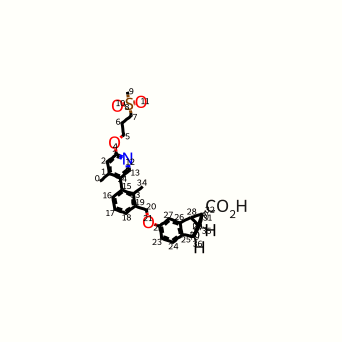 Cc1cc(OCCCS(C)(=O)=O)ncc1-c1cccc(COc2ccc3c(c2)C2[C@@H]4[C@H]3[C@@]24C(=O)O)c1C